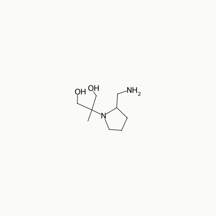 CC(CO)(CO)N1CCCC1CN